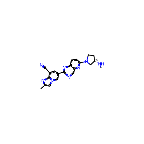 CN[C@H]1CCN(c2ccc3nc(-c4cc(C#N)c5nc(C)cn5c4)ncc3n2)C1